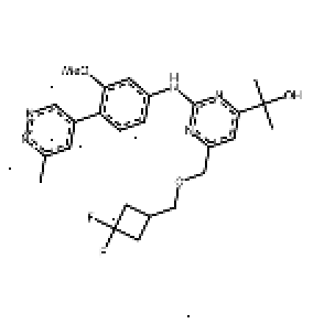 COc1cc(Nc2nc(COCC3CC(F)(F)C3)cc(C(C)(C)O)n2)ccc1-c1cnnc(C)c1